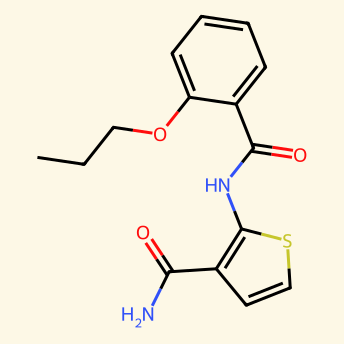 CCCOc1ccccc1C(=O)Nc1sccc1C(N)=O